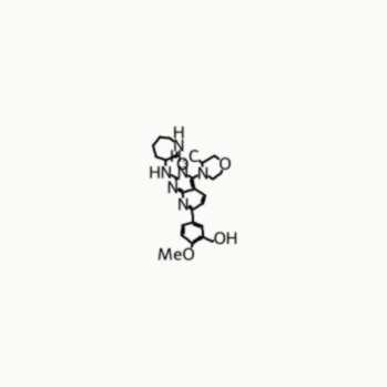 COc1ccc(-c2ccc3c(N4CCOCC4C)nc(NC4CCCCNC4=O)nc3n2)cc1CO